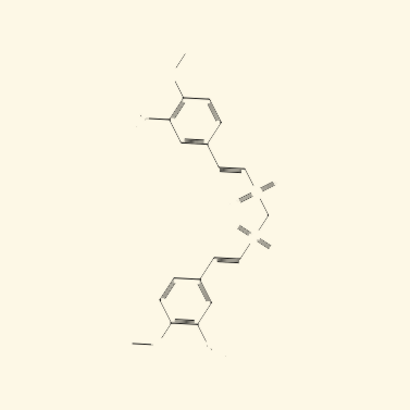 COc1ccc(C=CS(=O)(=O)CS(=O)(=O)C=Cc2ccc(OC)c(N)c2)cc1N